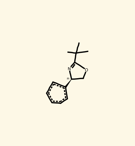 CC(C)(C)C1=N[C@H](c2ccccc2)CO1